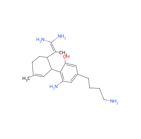 CC1=CC(c2c(N)cc(CCCCN)cc2O)C(C(C)=C(N)N)CC1